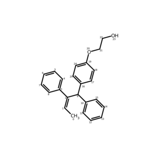 CC=C(c1ccccc1)C(c1ccccc1)c1ccc(OCCO)cc1